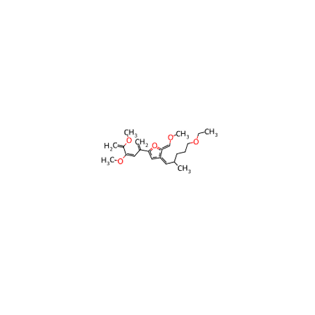 C=C(OC)/C(=C\C(=C)c1cc(=C/C(C)CCCOCC)/c(=C/OC)o1)OC